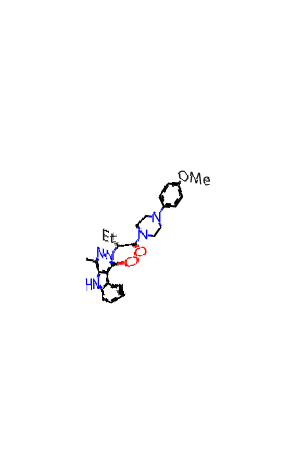 CCC(C(=O)N1CCN(c2ccc(OC)cc2)CC1)n1nc(C)c2[nH]c3ccccc3c2c1=O